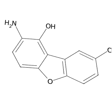 Nc1ccc2oc3ccc(Cl)cc3c2c1O